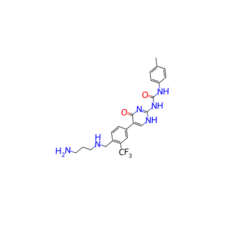 Cc1ccc(NC(=O)Nc2nc(=O)c(-c3ccc(CNCCCN)c(C(F)(F)F)c3)c[nH]2)cc1